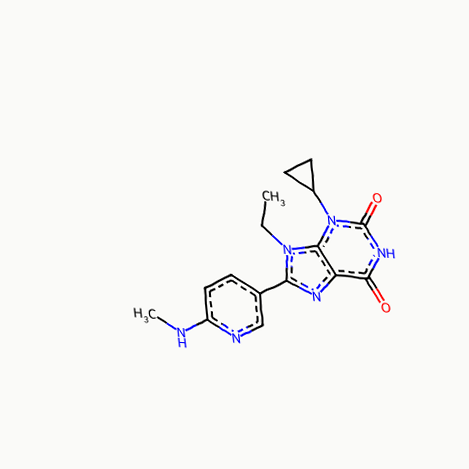 CCn1c(-c2ccc(NC)nc2)nc2c(=O)[nH]c(=O)n(C3CC3)c21